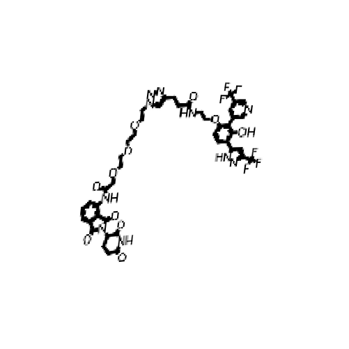 O=C(CCc1cn(CCOCCOCCOCC(=O)Nc2cccc3c2C(=O)N(C2CCC(=O)NC2=O)C3=O)nn1)NCCOc1ccc(-c2cc(C(F)(F)F)n[nH]2)c(O)c1-c1cncc(C(F)(F)F)c1